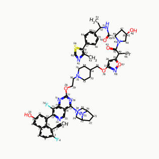 C#Cc1c(F)ccc2cc(O)cc(-c3ncc4c(N5CC6CCC(C5)N6)nc(OCCN5CCC(COc6cc(C(C(=O)N7C[C@H](O)C[C@H]7C(=O)NC(C)c7ccc(-c8scnc8C)cc7)C(C)C)on6)CC5)nc4c3F)c12